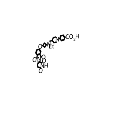 CCN(CC1CCN(c2ccc(C(=O)O)cc2)CC1)C1CC(Oc2ccc3c(c2)C(=O)N([C@@H]2CCC(=O)NC2=O)C3=O)C1